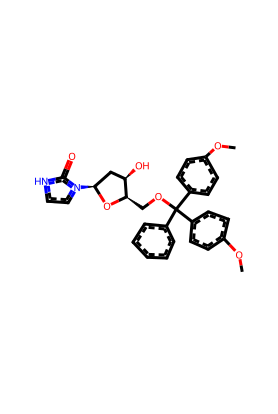 COc1ccc(C(OC[C@H]2O[C@@H](n3cc[nH]c3=O)C[C@H]2O)(c2ccccc2)c2ccc(OC)cc2)cc1